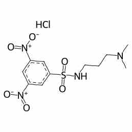 CN(C)CCCNS(=O)(=O)c1cc([N+](=O)[O-])cc([N+](=O)[O-])c1.Cl